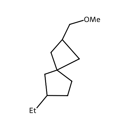 CCC1CCC2(C1)CC(COC)C2